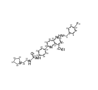 CCOc1nc(NCc2ccc(F)cc2)nc2ccc(-c3ccc(NC(=O)NCCN4CCCC4)cc3)nc12